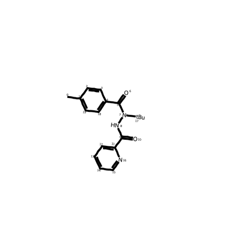 Cc1ccc(C(=O)N(NC(=O)c2ccccn2)C(C)(C)C)cc1